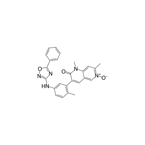 Cc1ccc(Nc2noc(-c3ccccc3)n2)cc1-c1cc2c[n+]([O-])c(C)cc2n(C)c1=O